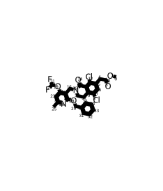 COC(=O)Cc1cc(Cl)c2c(c1Cl)C(=O)N(Cc1c(OC(F)F)cc(C)nc1OCc1ccccc1)CC2